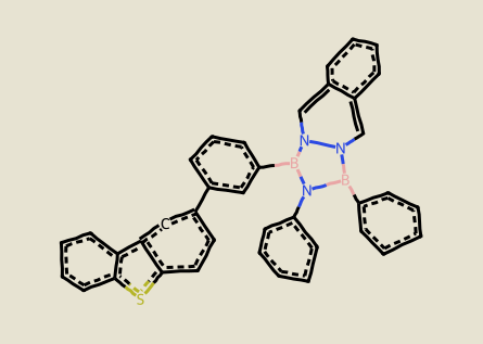 C1=c2ccccc2=CN2B(c3cccc(-c4ccc5sc6ccccc6c5c4)c3)N(c3ccccc3)B(c3ccccc3)N12